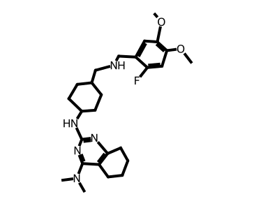 COc1cc(F)c(CNCC2CCC(Nc3nc4c(c(N(C)C)n3)CCCC4)CC2)cc1OC